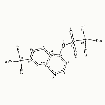 O=S(=O)(Oc1ccnc2cc(C(F)(F)F)ccc12)C(F)(F)F